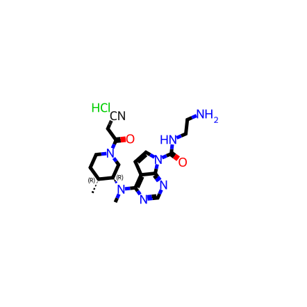 C[C@@H]1CCN(C(=O)CC#N)C[C@@H]1N(C)c1ncnc2c1ccn2C(=O)NCCN.Cl